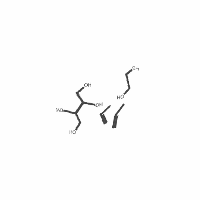 C=CC.C=CC.OCC(O)C(O)CO.OCCO